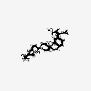 COC(=O)C(C)C(c1ccc2c(c1)OC1(CC2)CCN(c2ccc3nc(C(F)(F)F)cn3n2)CC1)C1CC1